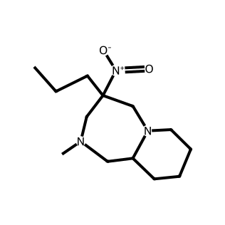 CCCC1([N+](=O)[O-])CN(C)CC2CCCCN2C1